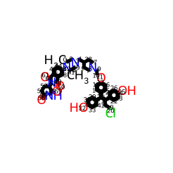 CC1CN(CC2CCN(CCOc3ccc(C(=C(CCCl)c4ccc(O)cc4)c4ccc(O)cc4)cc3)CC2)CC(C)N1c1ccc2c(c1)C(=O)N(C1CCC(=O)NC1=O)C2=O